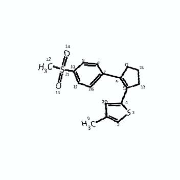 Cc1csc(C2=C(c3ccc(S(C)(=O)=O)cc3)CCC2)c1